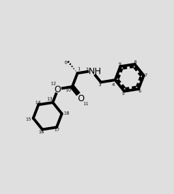 C[C@H](NCc1ccccc1)C(=O)OC1CCCCC1